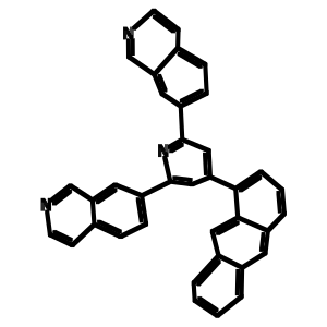 c1ccc2cc3c(-c4cc(-c5ccc6ccncc6c5)nc(-c5ccc6ccncc6c5)c4)cccc3cc2c1